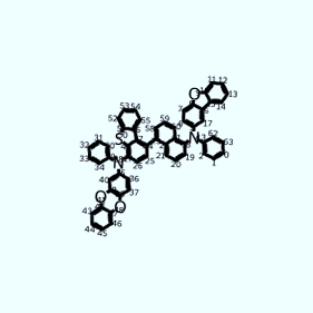 c1ccc(N(c2ccc3oc4ccccc4c3c2)c2cccc3c(-c4ccc(N(c5ccccc5)c5ccc6c(c5)Oc5ccccc5O6)c5sc6ccccc6c45)cccc23)cc1